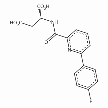 O=C(O)C[C@H](NC(=O)c1cccc(-c2ccc(F)cc2)n1)C(=O)O